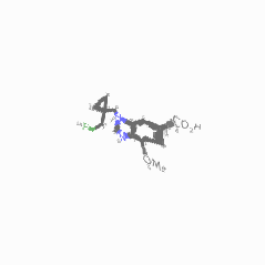 COc1cc(C(=O)O)cc2c1ncn2CC1(CF)CC1